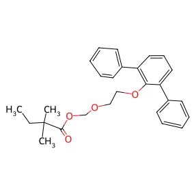 CCC(C)(C)C(=O)OCOCCOc1c(-c2ccccc2)cccc1-c1ccccc1